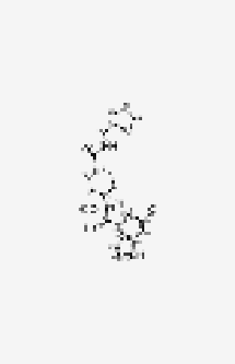 CC(C)(C1CCN(C(=O)NC[C@H]2CCCO2)CC1)C(O)c1cc(Cl)cc2[nH]ncc12